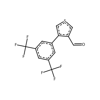 O=Cc1cscc1-c1cc(C(F)(F)F)cc(C(F)(F)F)c1